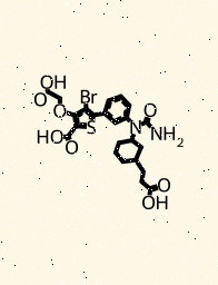 NC(=O)N(c1cccc(-c2sc(C(=O)O)c(OCC(=O)O)c2Br)c1)C1CCCC(CCC(=O)O)C1